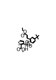 CCOC(=O)C=Cc1cc(C(C)(C)C)ccc1S(=O)(=O)Nc1ccsc1C(=O)OC